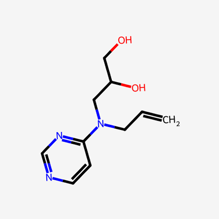 C=CCN(CC(O)CO)c1ccncn1